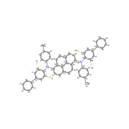 [C-]#[N+]c1ccc(N(c2c(F)cc(-c3ccccc3)cc2F)c2ccc3ccc4c(N(c5ccc(C#N)cc5)c5c(F)cc(-c6ccccc6)cc5F)ccc5ccc2c3c54)cc1